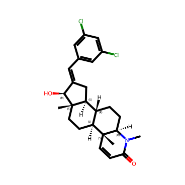 CN1C(=O)C=C[C@]2(C)[C@H]3CC[C@]4(C)[C@@H](O)C(=Cc5cc(Cl)cc(Cl)c5)C[C@H]4[C@@H]3CC[C@@H]12